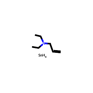 C=CCN(CC)CC.[SnH4]